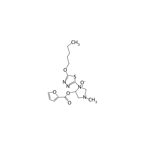 CCCCCOc1nnc([N+]2([O-])CN(C)CC2OC(=O)c2ccco2)s1